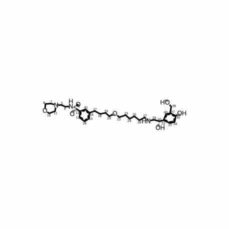 O=S(=O)(NCCN1CCOCC1)c1cccc(CCCCOCCCCCCNC[C@@H](O)c2ccc(O)c(CO)c2)c1